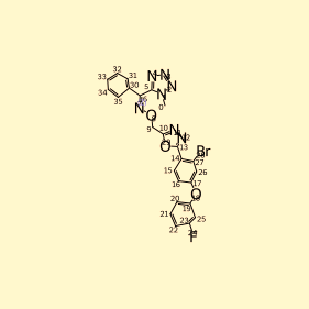 Cn1nnnc1/C(=N\OCc1nnc(-c2ccc(Oc3cccc(F)c3)cc2Br)o1)c1ccccc1